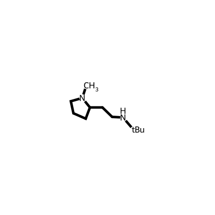 CN1CCCC1CCNC(C)(C)C